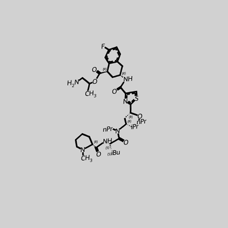 CCCO[C@H](C[C@H](C(C)C)N(CCC)C(=O)[C@@H](NC(=O)[C@H]1CCCCN1C)[C@@H](C)CC)c1nc(C(=O)N[C@H]2Cc3ccc(F)cc3[C@H](C(=O)OC(C)CN)C2)cs1